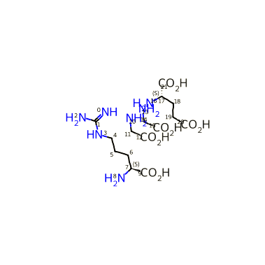 N=C(N)NCCC[C@H](N)C(=O)O.NCC(=O)O.NCC(=O)O.N[C@@H](CCC(=O)O)C(=O)O